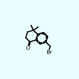 CC1(C)CCC(=O)c2cc(CBr)ccc21